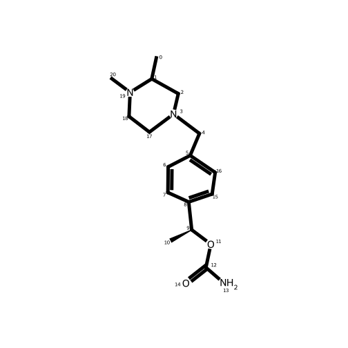 CC1CN(Cc2ccc([C@H](C)OC(N)=O)cc2)CCN1C